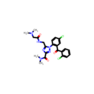 CN(C)CC(=O)NCc1nc(C(=O)N(C)C)nn1-c1ccc(Cl)cc1C(=O)c1ccccc1Cl